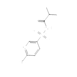 CC(C)C(=O)NS(=O)(=O)c1ccc(Cl)nc1